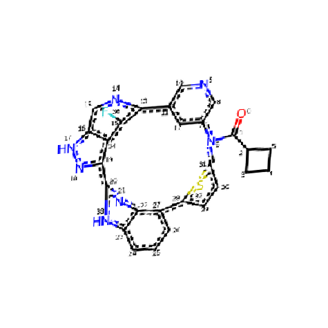 O=C(C1CCC1)n1c2cncc(c2)c2ncc3[nH]nc(c4nc5c(cccc5c5ccc1s5)[nH]4)c3c2F